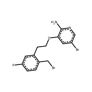 Nc1ncc(Br)cc1OCCc1cc(F)ccc1CBr